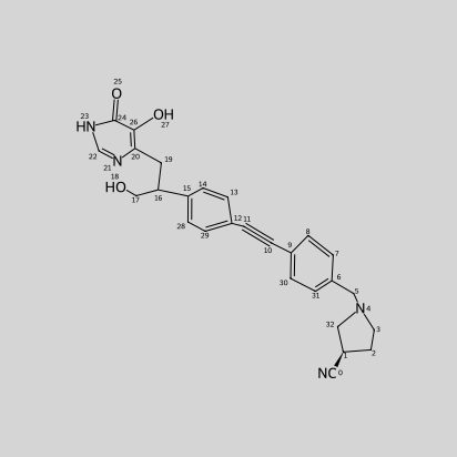 N#C[C@@H]1CCN(Cc2ccc(C#Cc3ccc(C(CO)Cc4nc[nH]c(=O)c4O)cc3)cc2)C1